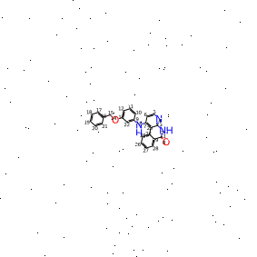 O=c1[nH]c2nccc(Nc3cccc(OCc4ccccc4)c3)c2c2ccccc12